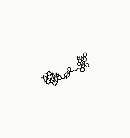 Cc1ccc(NC(=O)c2ccc(CN3CCN(C(=O)CCCCc4cccc5c4C(=O)N(C4CCC(=O)NC4=O)C5=O)CC3)cc2)cc1Nc1nccc(-c2cccnc2)n1